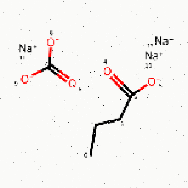 CCCC(=O)[O-].O=C([O-])[O-].[Na+].[Na+].[Na+]